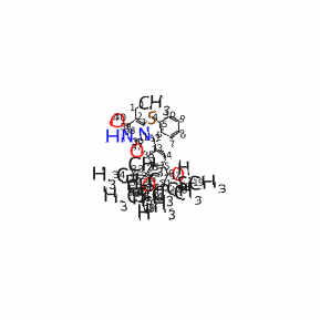 CCc1c(Sc2ccccc2)n(CC2=CC(C(O[SiH](C)C)C(C)(C)C)C(C(O[SiH](C)C)C(C)(C)C)C2)c(=O)[nH]c1=O